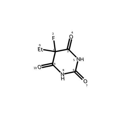 CCC1(F)C(=O)NC(=O)NC1=O